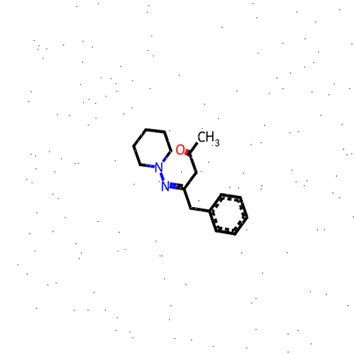 CC(=O)C/C(Cc1ccccc1)=N\N1CCCCC1